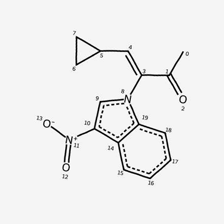 CC(=O)/C(=C/C1CC1)n1cc([N+](=O)[O-])c2ccccc21